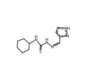 S=C(N/N=C\c1cc[nH]n1)NC1CCCCC1